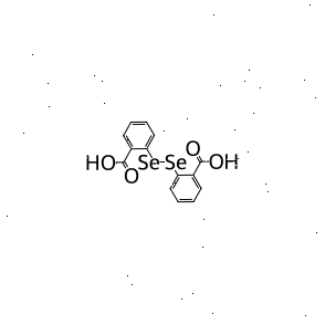 O=C(O)c1ccccc1[Se][Se]c1ccccc1C(=O)O